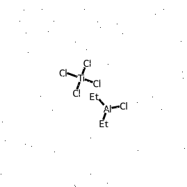 C[CH2][Al]([Cl])[CH2]C.[Cl][Ti]([Cl])([Cl])[Cl]